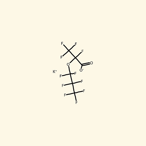 O=C([O-])C(F)(OC(F)(F)C(F)(F)C(F)(F)F)C(F)(F)F.[K+]